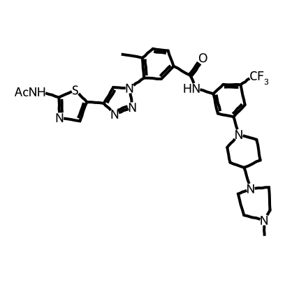 CC(=O)Nc1ncc(-c2cn(-c3cc(C(=O)Nc4cc(N5CCC(N6CCN(C)CC6)CC5)cc(C(F)(F)F)c4)ccc3C)nn2)s1